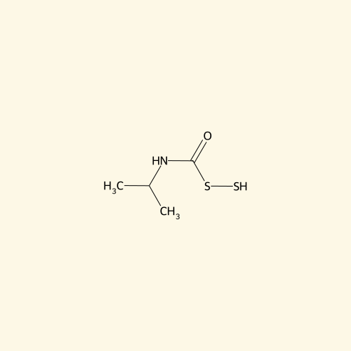 CC(C)NC(=O)SS